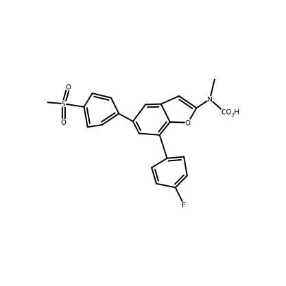 CN(C(=O)O)c1cc2cc(-c3ccc(S(C)(=O)=O)cc3)cc(-c3ccc(F)cc3)c2o1